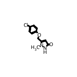 Cn1[nH]c(=O)cc1COc1ccc(Cl)cc1